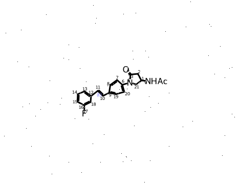 CC(=O)NC1CC(=O)N(c2ccc(/C=C/c3cccc(F)c3)cc2)C1